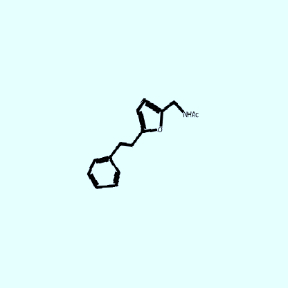 CC(=O)NCc1ccc(CCc2ccccc2)o1